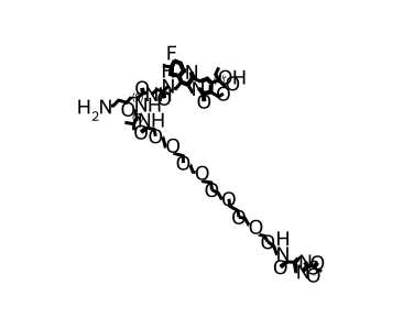 CC[C@@]1(O)C(=O)OCc2c1cc1n(c2=O)Cc2c-1nc1cc(F)c(C)cc1c2CNC(=O)CNC(=O)[C@H](CCCCN)NC(=O)[C@@H](NC(=O)COCCOCCOCCOCCOCCOCCOCCOCCOCCNC(=O)c1cnc(S(C)(=O)=O)nc1)C(C)C